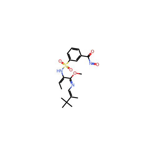 C\C=C(NS(=O)(=O)c1cccc(C(=O)N=O)c1)/C(=N\C=C(/C)C(C)(C)C)OC